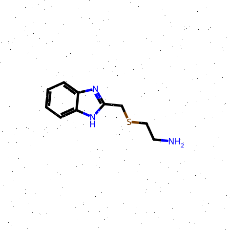 NCCSCc1nc2ccccc2[nH]1